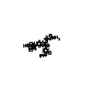 CCn1cc(-c2ccc(C[C@@H](CN3CCC3CC(N)=O)NC(=O)c3ccc(OC(C)C)c(Cl)c3)cc2)nc1C(C)(C)O